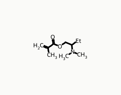 C=C(C)C(=O)OCC(CC)N(C)C